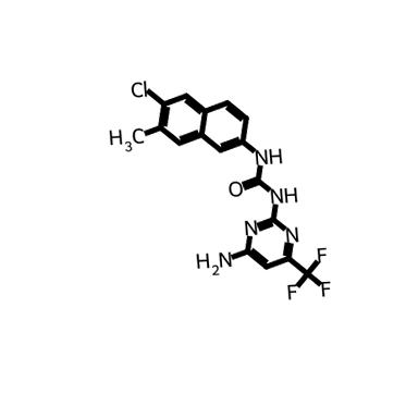 Cc1cc2cc(NC(=O)Nc3nc(N)cc(C(F)(F)F)n3)ccc2cc1Cl